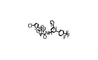 CCN(C1(C(=O)NCc2cc(-c3ccc(C(F)(F)F)cc3)nc(N3CCCC3)c2)CC1)S(=O)(=O)c1ccc(Cl)s1